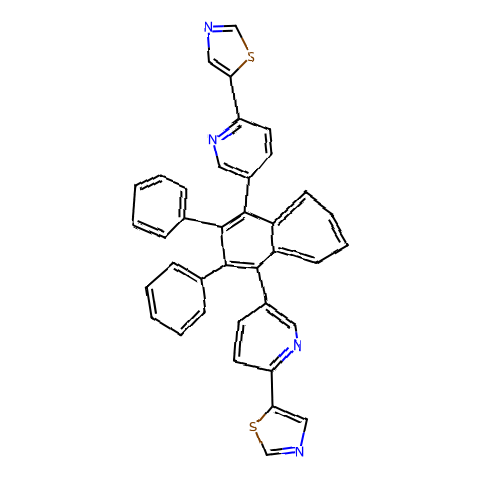 c1ccc(-c2c(-c3ccccc3)c(-c3ccc(-c4cncs4)nc3)c3ccccc3c2-c2ccc(-c3cncs3)nc2)cc1